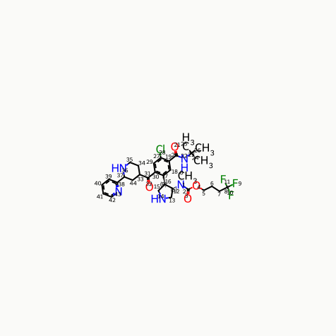 CN(C(=O)OCCCC(F)(F)F)[C@@H]1CNC[C@H]1c1cc(C(=O)NC(C)(C)C)c(Cl)cc1C(=O)C1CCNC(c2ccccn2)C1